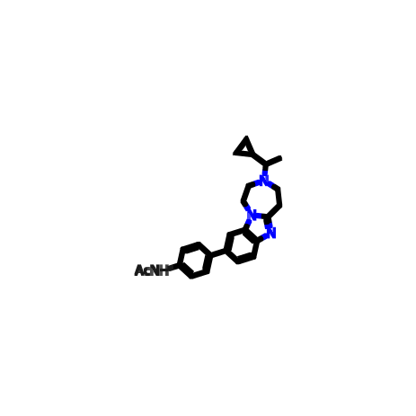 CC(=O)Nc1ccc(-c2ccc3nc4n(c3c2)CCN(C(C)C2CC2)CC4)cc1